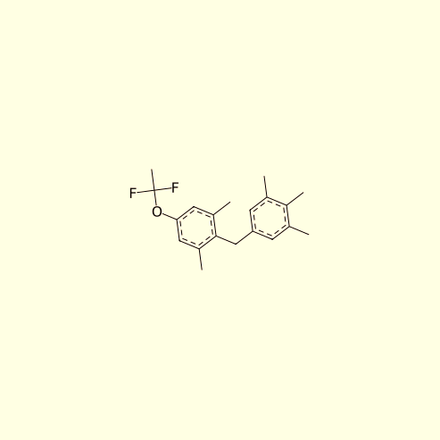 Cc1cc(Cc2c(C)cc(OC(C)(F)F)cc2C)cc(C)c1C